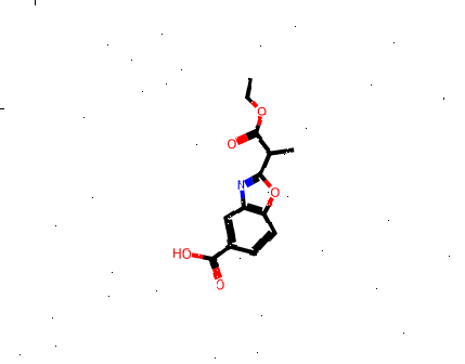 CCOC(=O)C(C)c1nc2cc(C(=O)O)ccc2o1